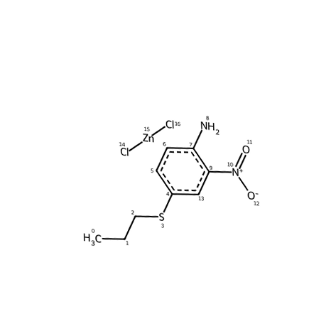 CCCSc1ccc(N)c([N+](=O)[O-])c1.[Cl][Zn][Cl]